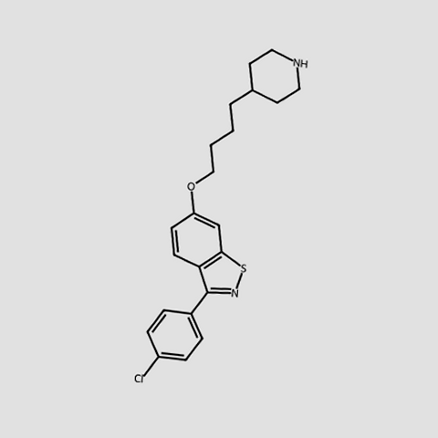 Clc1ccc(-c2nsc3cc(OCCCCC4CCNCC4)ccc23)cc1